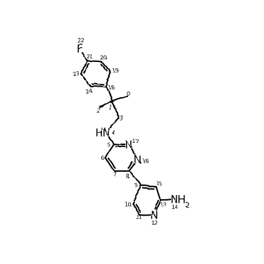 CC(C)(CNc1ccc(-c2ccnc(N)c2)nn1)c1ccc(F)cc1